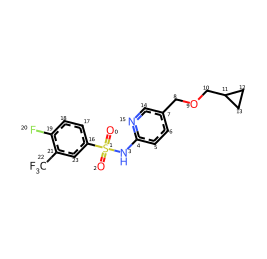 O=S(=O)(Nc1ccc(COCC2CC2)cn1)c1ccc(F)c(C(F)(F)F)c1